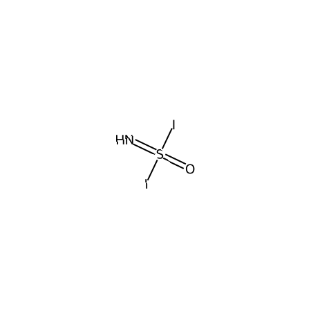 N=S(=O)(I)I